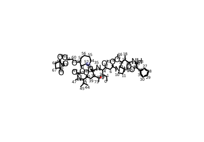 CC[C@H](C)C(C(CC(=O)N1CCCC1C(OC)C(C)C(=O)N[C@H](C)[C@@H](O)c1ccccc1)OC)N(C)C(=O)C(CC(=O)C(C(C)C)N(C)C(=O)OC1/C=C/CCCCC1OCC(=O)ON1C(=O)CCC1=O)C(C)C